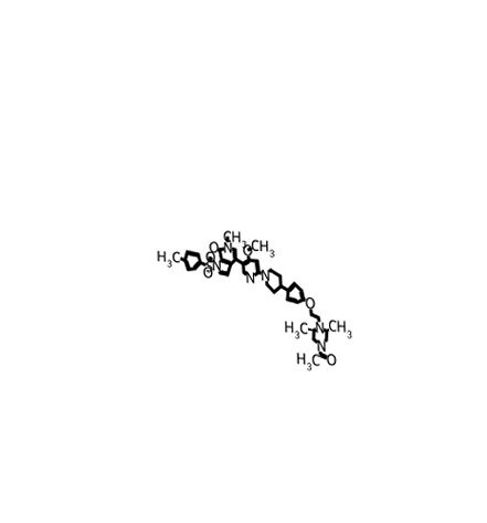 COc1cc(N2CCC(c3ccc(OCCN4[C@H](C)CN(C(C)=O)C[C@@H]4C)cc3)CC2)ncc1-c1cn(C)c(=O)c2c1ccn2S(=O)(=O)c1ccc(C)cc1